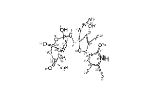 [N-]=[N+]=N[C@]1(COP(=O)(O)OP(=O)(O)OP(=O)(O)O)O[C@@H](n2cc(F)c(=S)[nH]c2=O)C(F)[C@H]1O